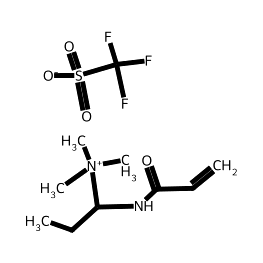 C=CC(=O)NC(CC)[N+](C)(C)C.O=S(=O)([O-])C(F)(F)F